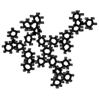 c1ccc(-n2c(-c3ccc(-c4cc(-c5cccc(-n6c7ccccc7c7cc(-c8ccc9c(c8)c8ccccc8n9-c8ccccc8)ccc76)c5)c(-c5ccc(-c6nc7c8ccccc8c8ccccc8c7n6-c6ccccc6)cc5)cc4-c4cccc(-n5c6ccccc6c6cc(-c7ccc8c(c7)c7ccccc7n8-c7ccccc7)ccc65)c4)cc3)nc3c4ccccc4c4ccccc4c32)cc1